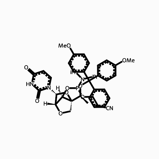 COc1ccc(C(O[C@@H](C)[C@]23CO[C@H]([C@H](n4ccc(=O)[nH]c4=O)O2)[C@H]3OP(OCCC#N)N(C(C)C)C(C)C)(c2ccccc2)c2ccc(OC)cc2)cc1